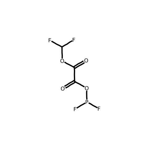 O=C(OC(F)F)C(=O)OP(F)F